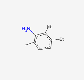 CCc1ccc(C)c(N)c1CC